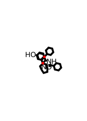 O=C(NC(CC1CCCCC1)CN1C2CCC1CC(c1cccc(O)c1)C2)C1CCCCC1